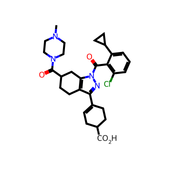 CN1CCN(C(=O)C2CCc3c(C4=CCC(C(=O)O)CC4)nn(C(=O)c4c(Cl)cccc4C4CC4)c3C2)CC1